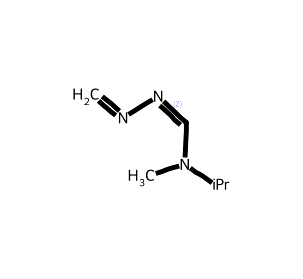 C=N/N=C\N(C)C(C)C